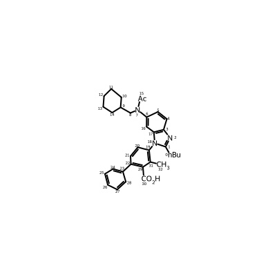 CCCCc1nc2ccc(N(CC3CCCCC3)C(C)=O)cc2n1-c1ccc(-c2ccccc2)c(C(=O)O)c1C